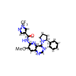 COc1cc2ncnc(N3CCC[C@H]3c3ccccc3)c2nc1NC(=O)c1cnn(C(F)(F)F)c1